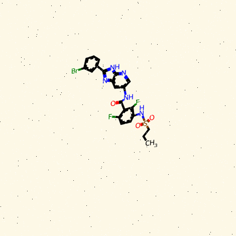 CCCS(=O)(=O)Nc1ccc(F)c(C(=O)Nc2cnc3[nH]c(-c4cccc(Br)c4)nc3c2)c1F